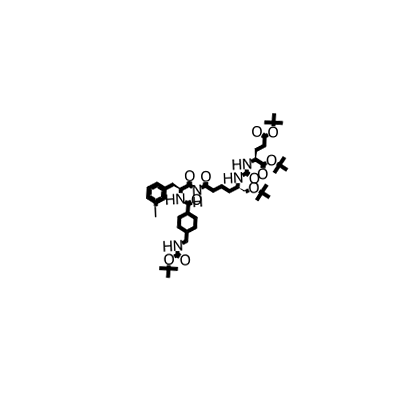 CC(C)(C)OC[C@H](CCCC(=O)NC(=O)[C@H](Cc1cccc(I)c1)NC(=O)C1CCC(CNC(=O)OC(C)(C)C)CC1)NC(=O)N[C@@H](CCC(=O)OC(C)(C)C)C(=O)OC(C)(C)C